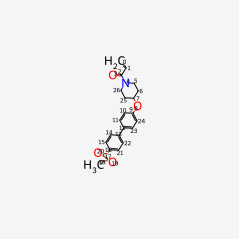 C=CC(=O)N1CCC(Oc2ccc(-c3ccc(S(C)(=O)=O)cc3)cc2)CC1